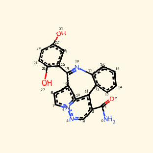 NC(=O)c1cnn2ccc3c2c1-c1ccccc1N=C3c1cc(O)ccc1O